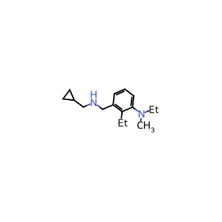 CCc1c(CNCC2CC2)cccc1N(C)CC